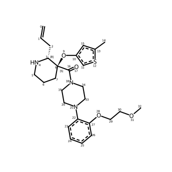 C=CC[C@H]1NCCC[C@@]1(Oc1csc(C)c1)C(=O)N1CCN(c2ccccc2OCCOC)CC1